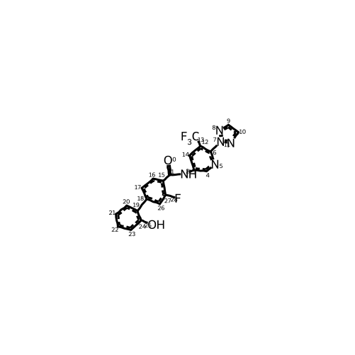 O=C(Nc1cnc(-n2nccn2)c(C(F)(F)F)c1)c1ccc(-c2ccccc2O)cc1F